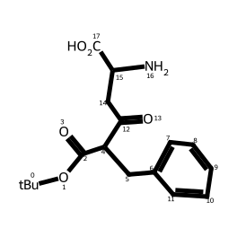 CC(C)(C)OC(=O)C(Cc1ccccc1)C(=O)CC(N)C(=O)O